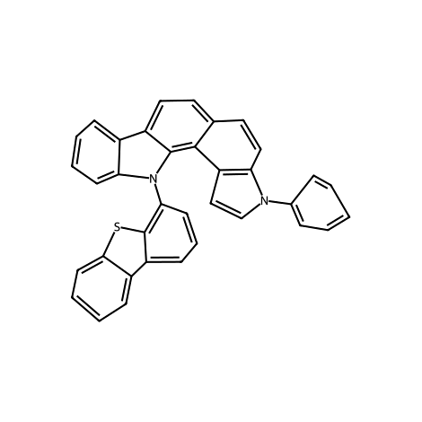 c1ccc(-n2ccc3c4c(ccc5c6ccccc6n(-c6cccc7c6sc6ccccc67)c54)ccc32)cc1